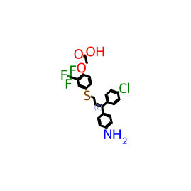 Nc1ccc(/C(=C/CSc2ccc(OCC(=O)O)c(C(F)(F)F)c2)c2ccc(Cl)cc2)cc1